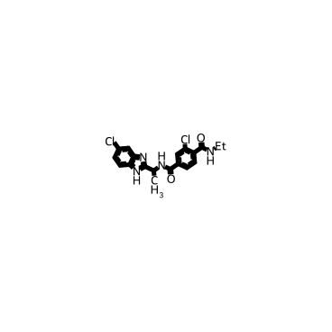 CCNC(=O)c1ccc(C(=O)NC(C)c2nc3cc(Cl)ccc3[nH]2)cc1Cl